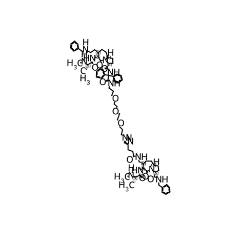 CC[C@H](NC)C(=O)N[C@@H]1C(=O)N2[C@@H](CC[C@@H]1CNC(=O)CCc1cn(CCCOCCOCCOCCCNC(=O)C(NC(=O)[C@@H]3CC[C@@H]4CC[C@H](CCNCc5ccccc5)[C@H](NC(=O)[C@H](CC)NC)C(=O)N43)(c3ccccc3)c3ccccc3)nn1)CC[C@H]2C(=O)NCc1ccccc1